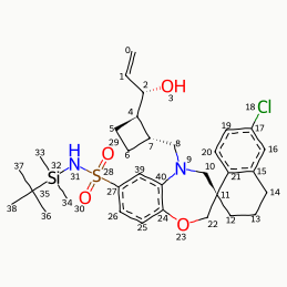 C=C[C@H](O)[C@@H]1CC[C@H]1CN1C[C@@]2(CCCc3cc(Cl)ccc32)COc2ccc(S(=O)(=O)N[Si](C)(C)C(C)(C)C)cc21